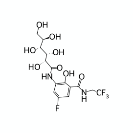 O=C(NCC(F)(F)F)c1cc(F)cc(NC(=O)[C@H](O)[C@@H](O)[C@H](O)[C@H](O)CO)c1O